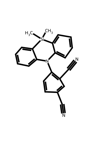 C[Si]1(C)c2ccccc2N(c2ccc(C#N)cc2C#N)c2ccccc21